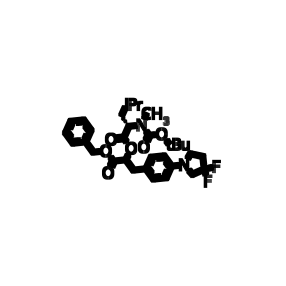 CC(C)C[C@@H](C(=O)OC(Cc1ccc(N2CCC(F)(F)C2)cc1)C(=O)OCc1ccccc1)N(C)C(=O)OC(C)(C)C